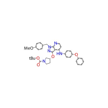 COc1ccc(Cn2nc(O[C@@H]3CCN(C(=O)OC(C)(C)C)C3)c3c(Nc4ccc(Oc5ccccc5)cc4)ccnc32)cc1